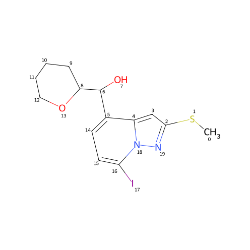 CSc1cc2c(C(O)C3CCCCO3)ccc(I)n2n1